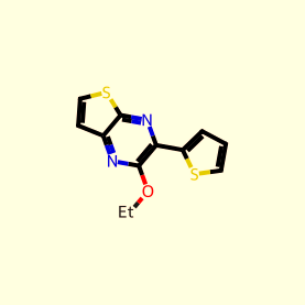 CCOc1nc2ccsc2nc1-c1cccs1